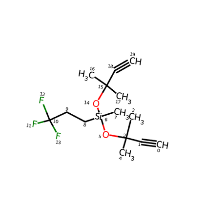 C#CC(C)(C)O[Si](C)(CCC(F)(F)F)OC(C)(C)C#C